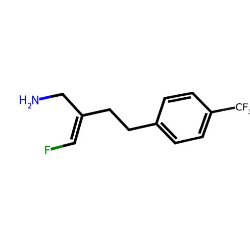 NCC(=CF)CCc1ccc(C(F)(F)F)cc1